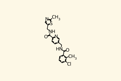 Cc1ncc(CNC(=O)c2ccc(CNC(=O)c3cccc(Cl)c3C)cn2)s1